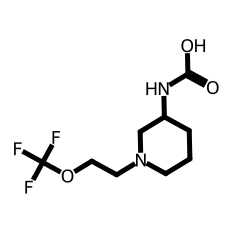 O=C(O)NC1CCCN(CCOC(F)(F)F)C1